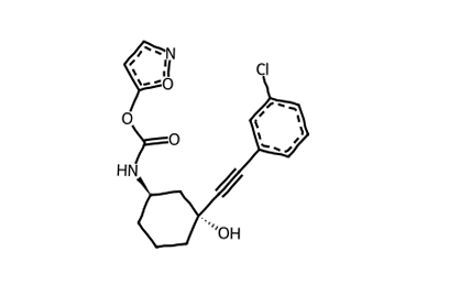 O=C(N[C@@H]1CCC[C@](O)(C#Cc2cccc(Cl)c2)C1)Oc1ccno1